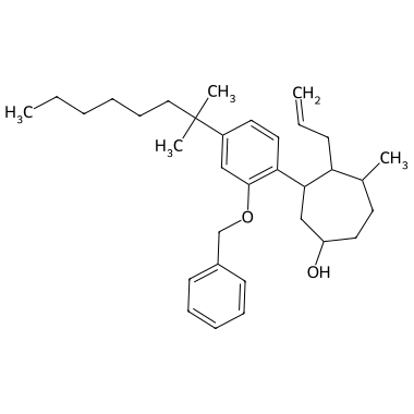 C=CCC1C(C)CCC(O)CC1c1ccc(C(C)(C)CCCCCC)cc1OCc1ccccc1